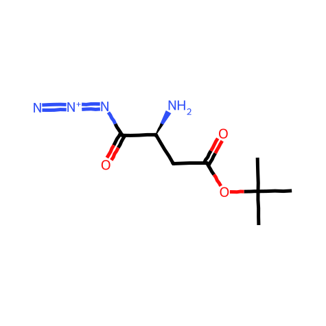 CC(C)(C)OC(=O)C[C@H](N)C(=O)N=[N+]=[N-]